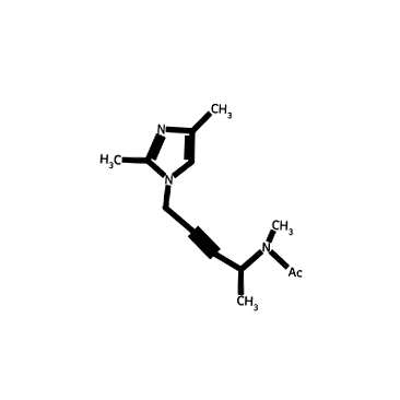 CC(=O)N(C)C(C)C#CCn1cc(C)nc1C